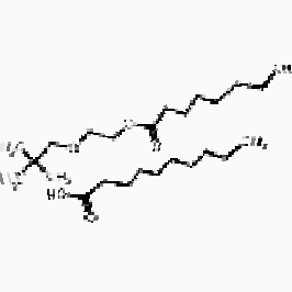 CCCCCCCC(=O)OCCOCC(C)(C)C.CCCCCCCCCC(=O)O